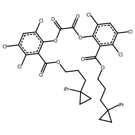 CC(C)C1(CCCOC(=O)c2c(Cl)c(Cl)cc(Cl)c2OC(=O)C(=O)Oc2c(Cl)cc(Cl)c(Cl)c2C(=O)OCCCC2(C(C)C)CC2)CC1